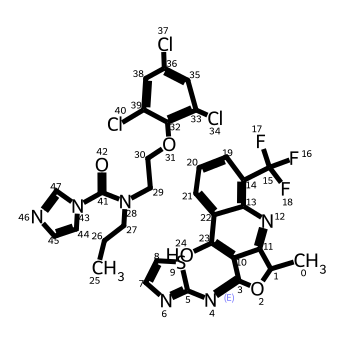 CC1O/C(=N/c2nccs2)c2c1nc1c(C(F)(F)F)cccc1c2O.CCCN(CCOc1c(Cl)cc(Cl)cc1Cl)C(=O)n1ccnc1